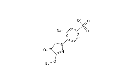 CCOC1=NN(c2ccc(S(=O)(=O)[O-])cc2)CC1=O.[Na+]